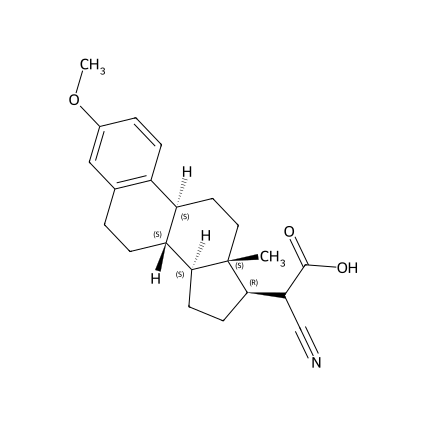 COc1ccc2c(c1)CC[C@@H]1[C@@H]2CC[C@]2(C)[C@@H](C(C#N)C(=O)O)CC[C@@H]12